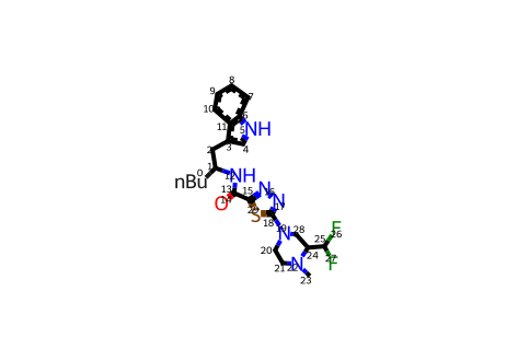 CCCCC(Cc1c[nH]c2ccccc12)NC(=O)c1nnc(N2CCN(C)C(C(F)F)C2)s1